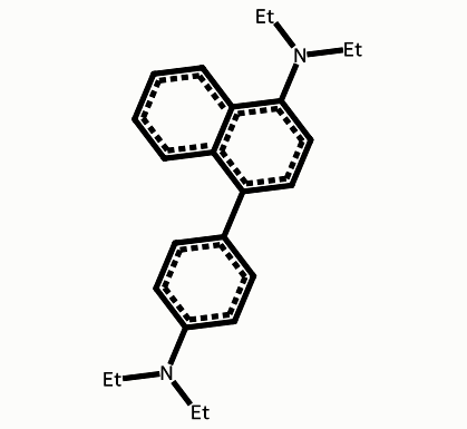 CCN(CC)c1ccc(-c2ccc(N(CC)CC)c3ccccc23)cc1